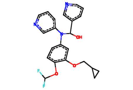 OC(c1cccnc1)N(c1cccnc1)c1ccc(OC(F)F)c(OCC2CC2)c1